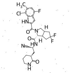 Cc1cc(F)c2cc(C(=O)N3C[C@H]4CC(F)(F)C[C@H]4[C@@H]3C(=O)N[C@H](C#N)C[C@@H]3CCCNC3=O)[nH]c2c1Cl